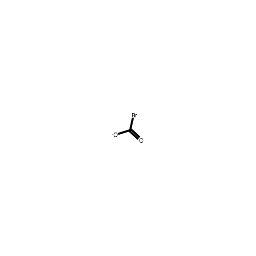 [O]C(=O)Br